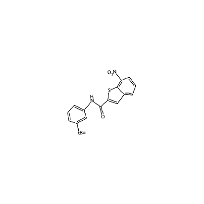 CC(C)(C)c1cccc(NC(=O)c2cc3cccc([N+](=O)[O-])c3s2)c1